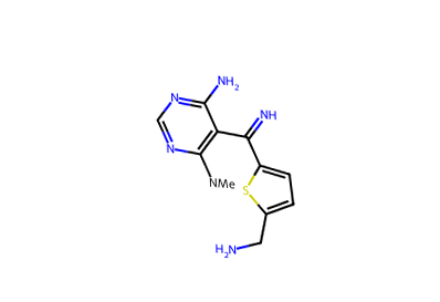 CNc1ncnc(N)c1C(=N)c1ccc(CN)s1